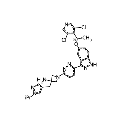 CC(C)n1cc(CC2(N)CN(c3ccc(-c4n[nH]c5ccc(O[C@H](C)c6c(Cl)cncc6Cl)cc45)nn3)C2)cn1